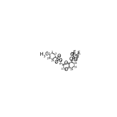 Cc1ccc(S(=O)(=O)OCC2COc3cccc(OS(=O)(=O)C(F)(F)F)c3O2)cc1